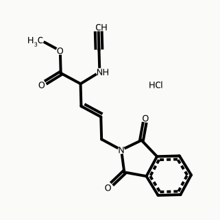 C#CNC(C=CCN1C(=O)c2ccccc2C1=O)C(=O)OC.Cl